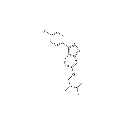 CC(COc1ccc2c(-c3ccc(Br)cc3)nsc2c1)N(C)C